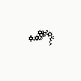 CCO/C=C/C(=O)N1C=C(NC(=O)c2sc3nccc4c3c2NC(=O)N4c2ccc(Oc3ccccc3)cc2C)CCC1